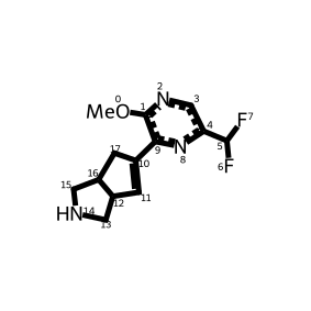 COc1ncc(C(F)F)nc1C1=CC2CNCC2C1